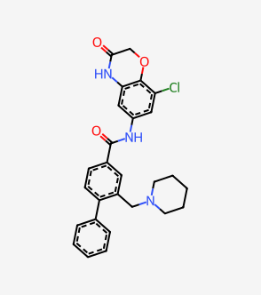 O=C1COc2c(Cl)cc(NC(=O)c3ccc(-c4ccccc4)c(CN4CCCCC4)c3)cc2N1